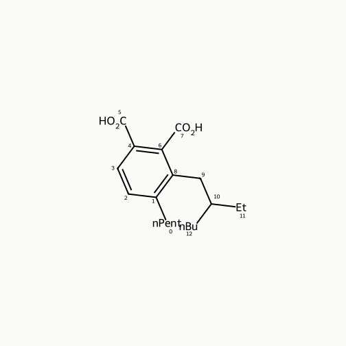 CCCCCc1ccc(C(=O)O)c(C(=O)O)c1CC(CC)CCCC